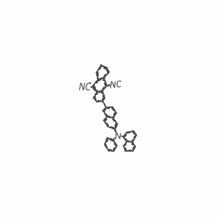 [C-]#[N+]c1c2ccccc2c(C#N)c2ccc(-c3ccc4cc(N(c5ccccc5)c5cccc6ccccc56)ccc4c3)cc12